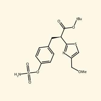 COCc1csc([C@@H](Cc2ccc(OS(N)(=O)=O)cc2)C(=O)OC(C)(C)C)n1